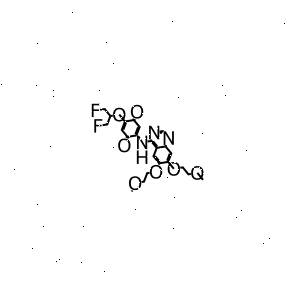 COCCOc1cc2ncnc(NC3=CC(=O)C(OC(CF)CF)=CC3=O)c2cc1OCCOC